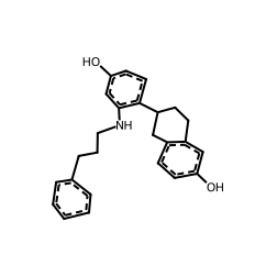 Oc1ccc2c(c1)CCC(c1ccc(O)cc1NCCCc1ccccc1)C2